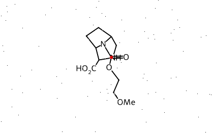 COCCOC(=O)N1C2CCC1C(C(=O)O)NC2